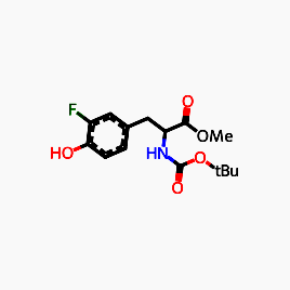 COC(=O)C(Cc1ccc(O)c(F)c1)NC(=O)OC(C)(C)C